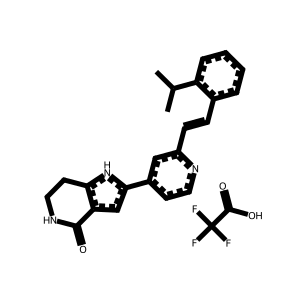 CC(C)c1ccccc1/C=C/c1cc(-c2cc3c([nH]2)CCNC3=O)ccn1.O=C(O)C(F)(F)F